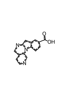 O=C(O)c1ccc2c(c1)cc1ncc3ccncc3n12